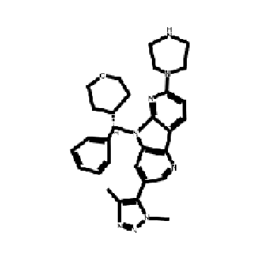 Cc1nnn(C)c1-c1cnc2c3ccc(N4CCNCC4)nc3n([C@H](c3ccccc3)C3CCOCC3)c2c1